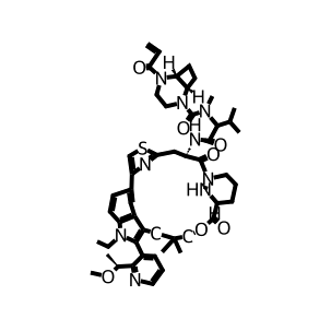 C=CC(=O)N1CCN(C(=O)N(C)C(C(=O)N[C@H]2Cc3nc(cs3)-c3ccc4c(c3)c(c(-c3cccnc3[C@H](C)OC)n4CC)CC(C)(C)COC(=O)[C@@H]3CCCN(N3)C2=O)C(C)C)[C@H]2CC[C@H]21